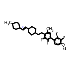 CCOc1ccc(-c2cc(C)c(CCC3CCC(/C=C/C4CCC(C)CC4)CC3)c(F)c2F)c(F)c1F